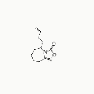 C=CCCC1CCCCC2=NOS(=O)N21